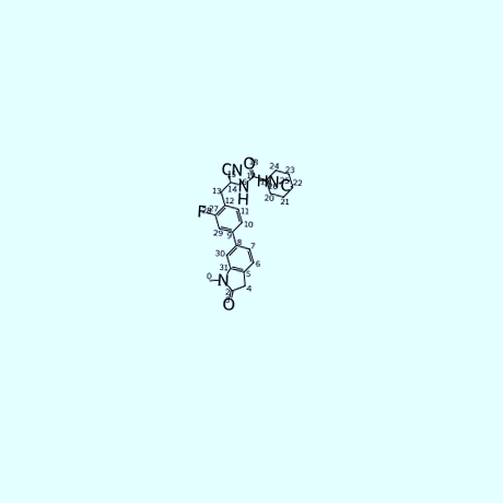 CN1C(=O)Cc2ccc(-c3ccc(C[C@@H](C#N)NC(=O)C45CCC(CC4)CN5)c(F)c3)cc21